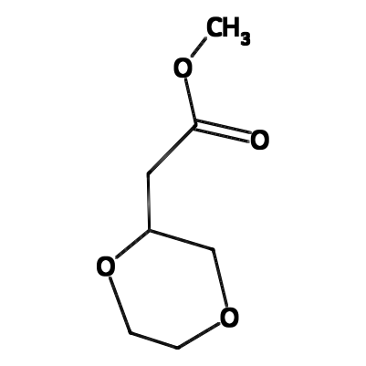 COC(=O)CC1COCCO1